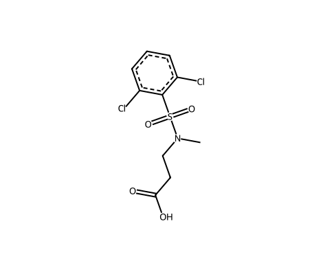 CN(CCC(=O)O)S(=O)(=O)c1c(Cl)cccc1Cl